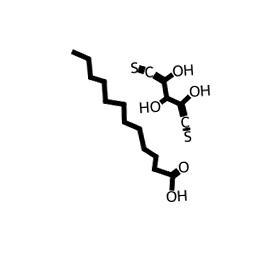 CCCCCCCCCCCC(=O)O.OC(=C=S)C(O)C(O)=C=S